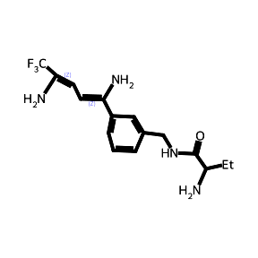 CCC(N)C(=O)NCc1cccc(/C(N)=C/C=C(\N)C(F)(F)F)c1